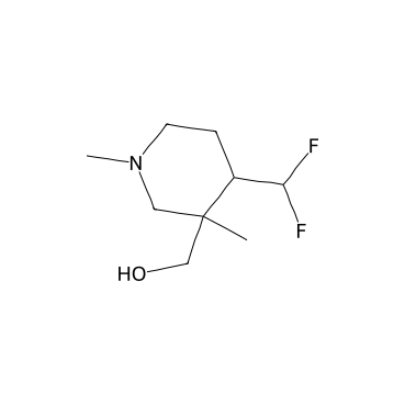 CN1CCC(C(F)F)C(C)(CO)C1